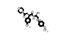 CC(C)[C@@H](CNc1ccc(OC(F)(F)F)cc1)NC(=O)[C@H](CC(=O)N1CCOCC1)c1ccc(C(F)(F)F)cc1